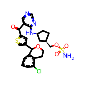 NS(=O)(=O)OC[C@@H]1CC[C@H](Nc2ncncc2C(=O)c2cc(C3OCCc4c(Cl)cccc43)cs2)C1